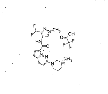 Cn1cc(NC(=O)c2ccc3ccc(N4CCC[C@@H](N)C4)nn23)c(C(F)F)n1.O=C(O)C(F)(F)F